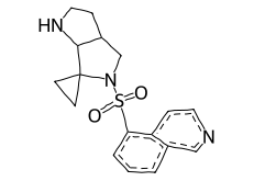 O=S(=O)(c1cccc2cnccc12)N1CC2CCNC2C12CC2